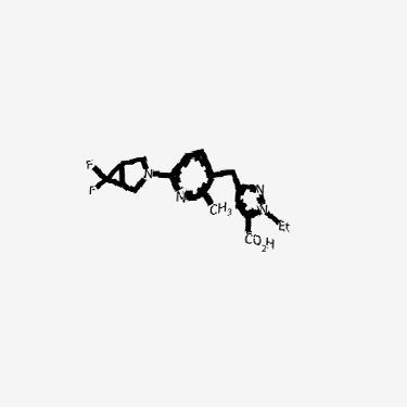 CCn1nc(Cc2ccc(N3CC4C(C3)C4(F)F)nc2C)cc1C(=O)O